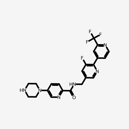 O=C(NCc1cnc(-c2ccnc(C(F)(F)F)c2)c(F)c1)c1ccc(N2CCNCC2)cn1